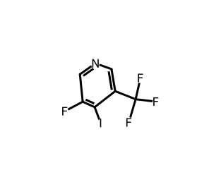 Fc1cncc(C(F)(F)F)c1I